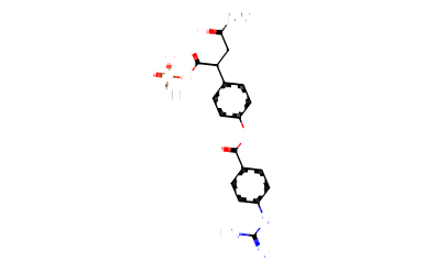 CNC(=O)CC(C(=O)OS(C)(=O)=O)c1ccc(OC(=O)c2ccc(NC(=N)N)cc2)cc1